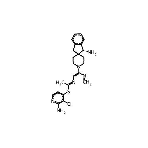 C=N/C(=C\N=C(/C)Sc1ccnc(N)c1Cl)N1CCC2(CC1)Cc1ccccc1[C@@H]2N